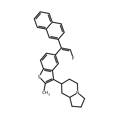 Cc1sc2ccc(C(=CF)c3ccc4ccccc4c3)cc2c1C1CCN2CCCC2C1